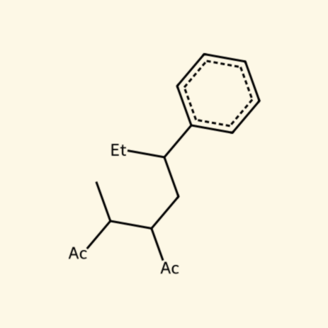 CCC(CC(C(C)=O)C(C)C(C)=O)c1ccccc1